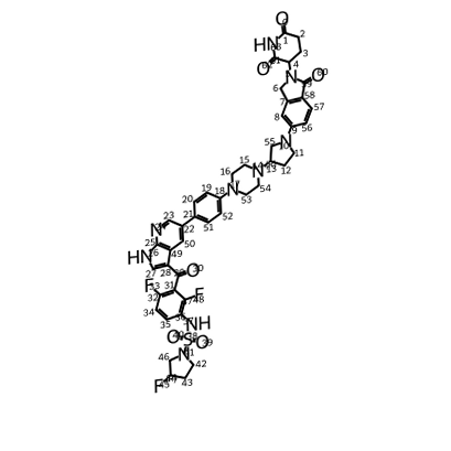 O=C1CCC(N2Cc3cc(N4CC[C@@H](N5CCN(c6ccc(-c7cnc8[nH]cc(C(=O)c9c(F)ccc(NS(=O)(=O)N%10CC[C@@H](F)C%10)c9F)c8c7)cc6)CC5)C4)ccc3C2=O)C(=O)N1